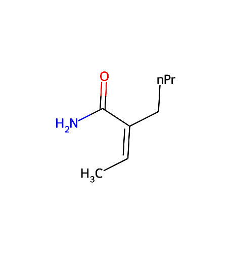 CC=C(CCCC)C(N)=O